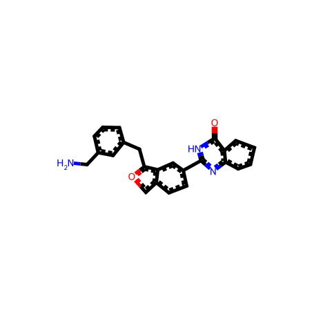 NCc1cccc(Cc2occ3ccc(-c4nc5ccccc5c(=O)[nH]4)cc23)c1